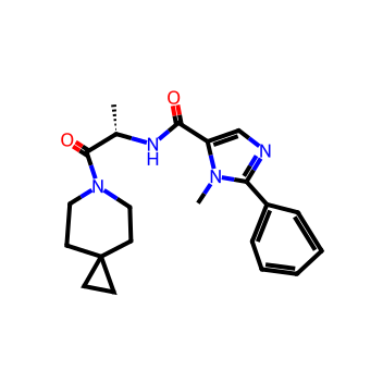 C[C@H](NC(=O)c1cnc(-c2ccccc2)n1C)C(=O)N1CCC2(CC1)CC2